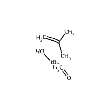 C=C(C)C.C=O.CC(C)(C)O